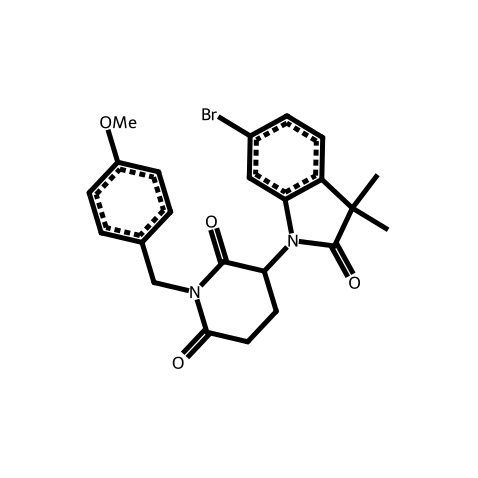 COc1ccc(CN2C(=O)CCC(N3C(=O)C(C)(C)c4ccc(Br)cc43)C2=O)cc1